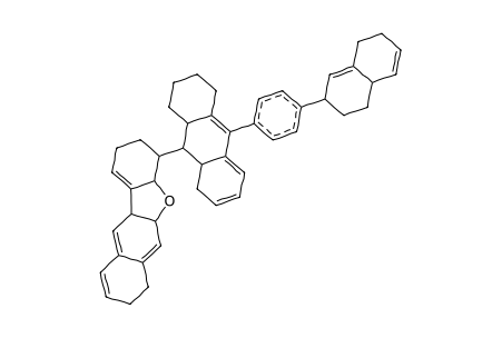 C1=CCC2C(=C1)C(c1ccc(C3C=C4CCC=CC4CC3)cc1)=C1CCCCC1C2C1CCC=C2C3C=C4C=CCCC4=CC3OC21